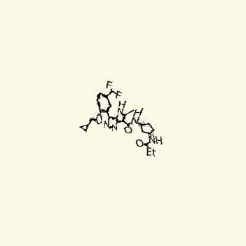 CCC(=O)N[C@H]1CC[C@H](NC(=O)c2c(C)[nH]c3c(-c4cc(C(F)F)ccc4OCC4CC4)ncnc23)C1